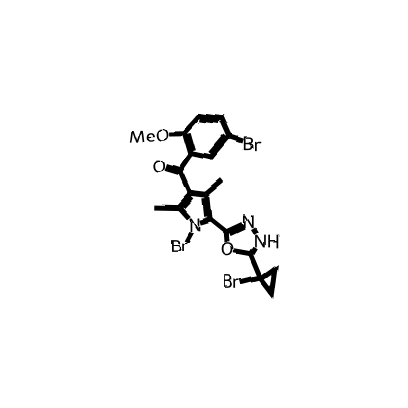 COc1ccc(Br)cc1C(=O)c1c(C)c(C2=NNC(C3(Br)CC3)O2)n(Br)c1C